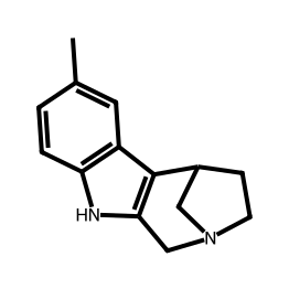 Cc1ccc2[nH]c3c(c2c1)C1CCN(C3)C1